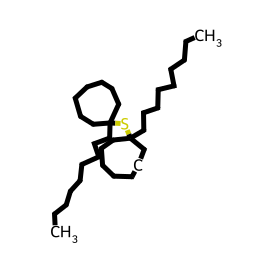 CCCCCCCCCC1(SC2(CCCCCCCCC)CCCCCCC2)CCCCCCC1